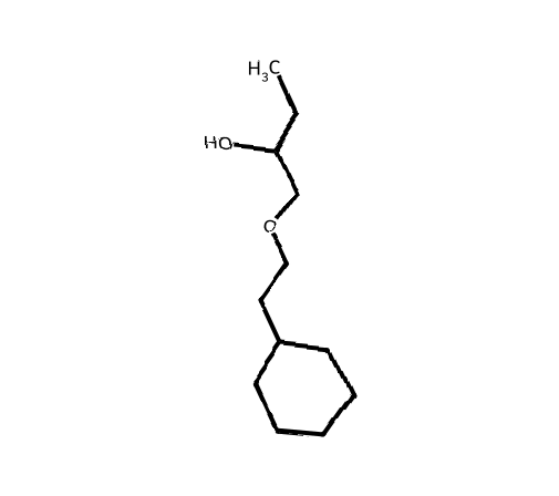 CCC(O)COCCC1CCCCC1